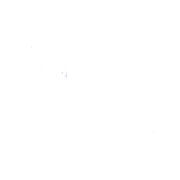 O=C/C=C1/CN2C(=O)CC2O1